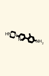 Cc1cc(N)ccc1-c1ccc(N2CCNCC2)nc1